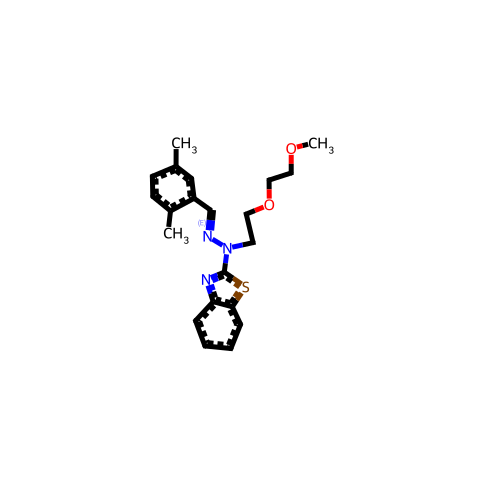 COCCOCCN(/N=C/c1cc(C)ccc1C)c1nc2ccccc2s1